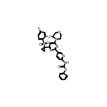 CC1COCCN1c1cc(C2(S(=O)(=O)c3ccc(F)cc3)CC2)nc(-c2ccc(NC(=O)Oc3ccccc3)nc2)n1